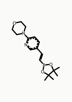 CC1(C)OB(C=Cc2ccc(N3CCOCC3)nc2)OC1(C)C